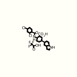 O=C(Nc1ccc(-c2ccc3[nH]ccc3c2)cc1C(=O)O)c1ccc(Cl)cc1Cl.O=C(O)C(F)(F)F